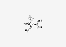 C=CC(=O)OC.O=C(O)O